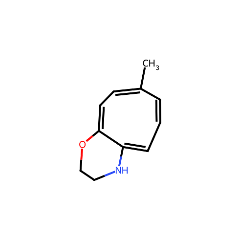 CC1=C/C=C2/OCCN/C2=C/C=C\1